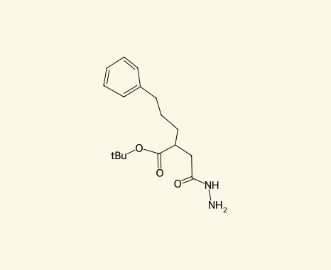 CC(C)(C)OC(=O)C(CCCc1ccccc1)CC(=O)NN